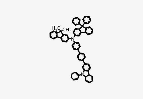 CC1(C)c2ccccc2-c2ccc(N(c3ccc(-c4ccc(-c5ccc6c(c5)N(C5=CCCC=C5)C5C=CC=CC65)cc4)cc3)c3ccc4c(c3)-c3ccccc3C4(c3ccccc3)c3ccccc3)cc21